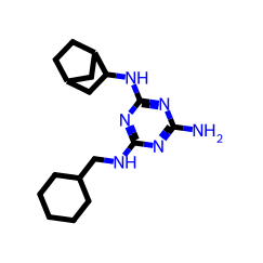 Nc1nc(NCC2CCCCC2)nc(NC2CC3CCC2C3)n1